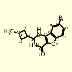 CN1CC(C2NC(=O)c3oc4ccc(Br)cc4c3N2)C1